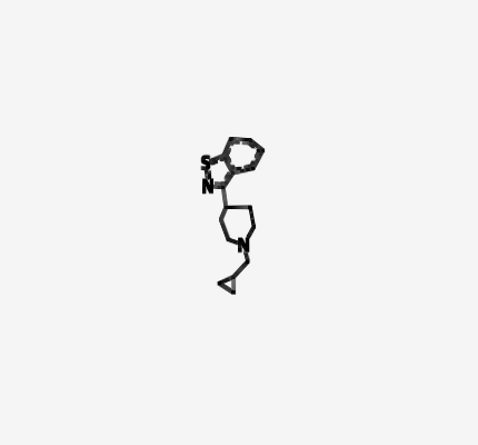 c1ccc2c(C3CCN(CC4CC4)CC3)nsc2c1